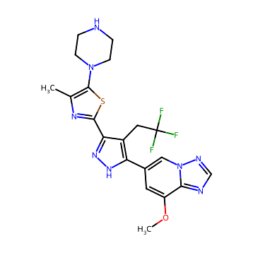 COc1cc(-c2[nH]nc(-c3nc(C)c(N4CCNCC4)s3)c2CC(F)(F)F)cn2ncnc12